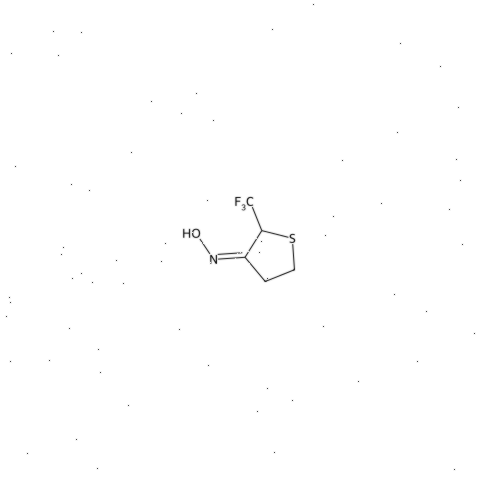 ON=C1CCSC1C(F)(F)F